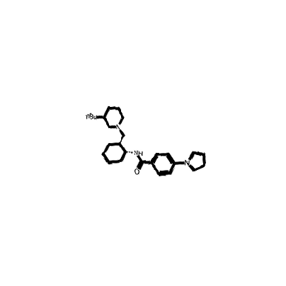 CCCCC1CCCN(C[C@@H]2CCCC[C@H]2NC(=O)c2ccc(N3CCCC3)cc2)C1